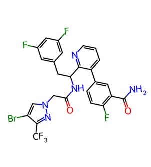 NC(=O)c1cc(-c2cccnc2C(Cc2cc(F)cc(F)c2)NC(=O)Cn2cc(Br)c(C(F)(F)F)n2)ccc1F